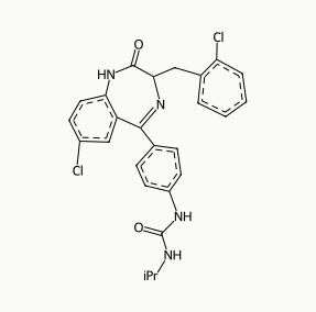 CC(C)NC(=O)Nc1ccc(C2=NC(Cc3ccccc3Cl)C(=O)Nc3ccc(Cl)cc32)cc1